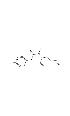 C=CCCC(C=C)N(C)C(=C)Cc1ccc(C)cc1